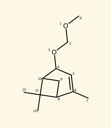 COCOC1C=C(C)C2CC1C2(C)C